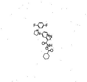 O=C(NOC(=O)C1CCCCC1)c1cnn2ccc(N3CCC[C@@H]3c3cc(F)ccc3F)cc12